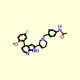 COc1ccc(F)cc1-c1ccnc2[nH]c(C3=CCCN(Cc4ccc(NC(C)=O)cc4)C3)cc12